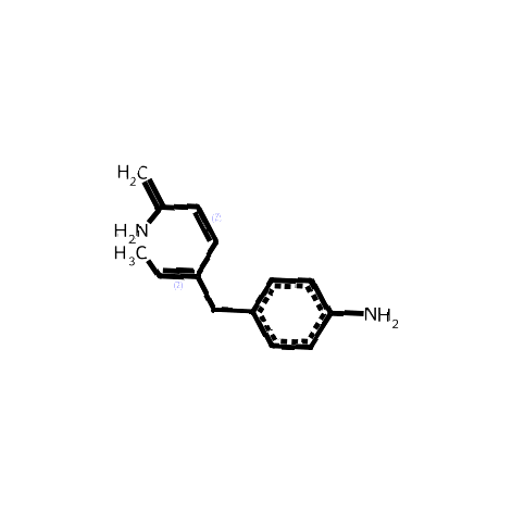 C=C(N)/C=C\C(=C/C)Cc1ccc(N)cc1